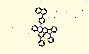 c1ccc(-n2c3ccccc3c3cc(N(c4ccc(-c5cccc6ccccc56)cc4)c4ccccc4-c4ccc5sc6ccccc6c5c4)ccc32)cc1